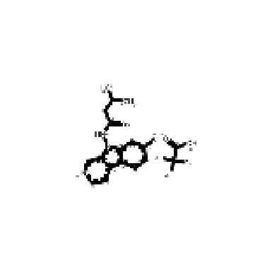 CC(C)CC(=O)Nn1c2cnccc2c2ccc(Cl)cc21.O=C(O)C(F)(F)F